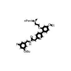 CCCCCN(C)CCOc1cc(OCC)ccc1-c1ccc(CC(=O)NCc2cc(F)cc(OCC(C)C)c2)nc1